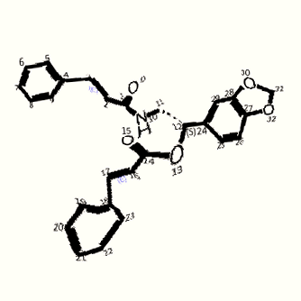 O=C(/C=C/c1ccccc1)NC[C@@H](OC(=O)/C=C/c1ccccc1)c1ccc2c(c1)OCO2